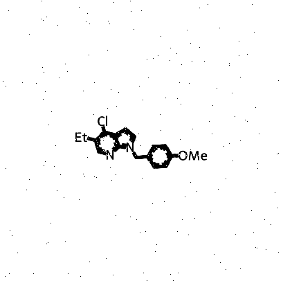 CCc1cnc2c(ccn2Cc2ccc(OC)cc2)c1Cl